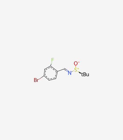 CC(C)(C)[S@+]([O-])/N=C/c1ccc(Br)cc1F